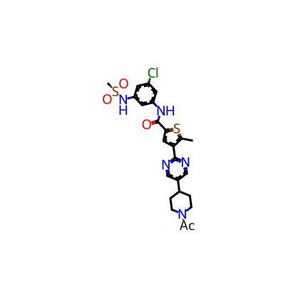 CC(=O)N1CCC(c2cnc(-c3cc(C(=O)Nc4cc(Cl)cc(NS(C)(=O)=O)c4)sc3C)nc2)CC1